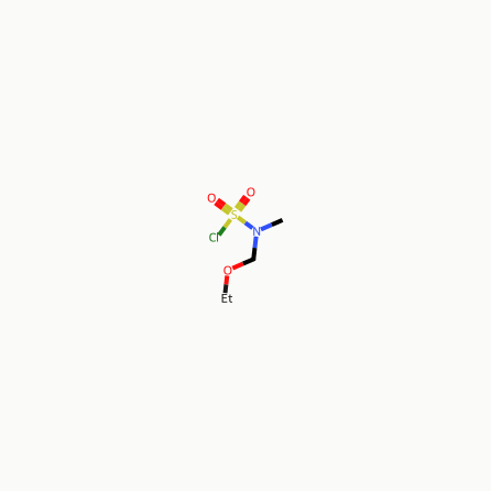 CCOCN(C)S(=O)(=O)Cl